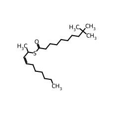 CCCCCC/C=C\C(C)SC(=O)CCCCCCCC(C)(C)C